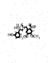 COc1cc(CN(C)CC(O)c2cccc(O)c2)c([N+](=O)[O-])cc1OC